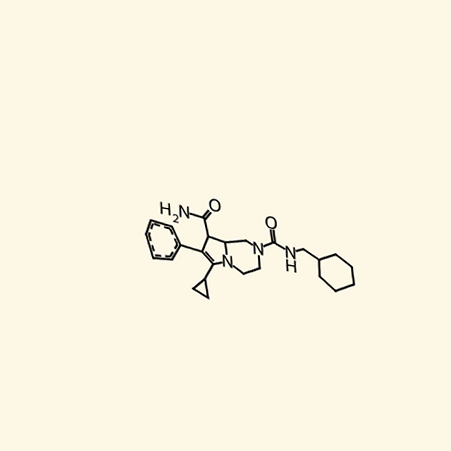 NC(=O)C1C(c2ccccc2)=C(C2CC2)N2CCN(C(=O)NCC3CCCCC3)CC12